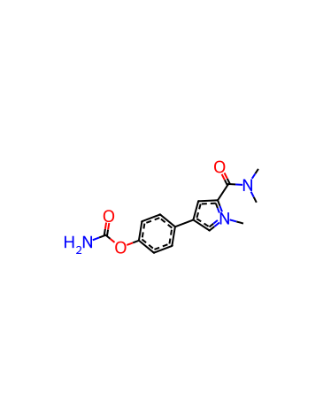 CN(C)C(=O)c1cc(-c2ccc(OC(N)=O)cc2)cn1C